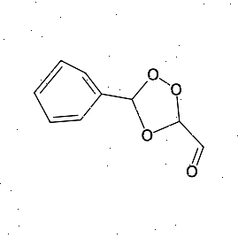 O=CC1OOC(c2ccccc2)O1